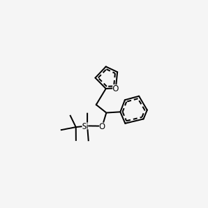 CC(C)(C)[Si](C)(C)OC(Cc1ccco1)c1ccccc1